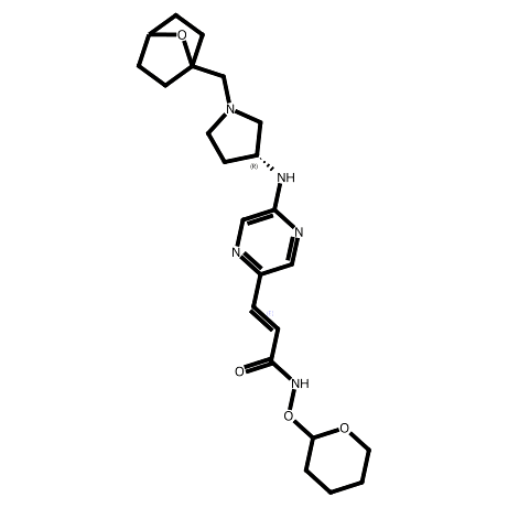 O=C(/C=C/c1cnc(N[C@@H]2CCN(CC34CCC(CC3)O4)C2)cn1)NOC1CCCCO1